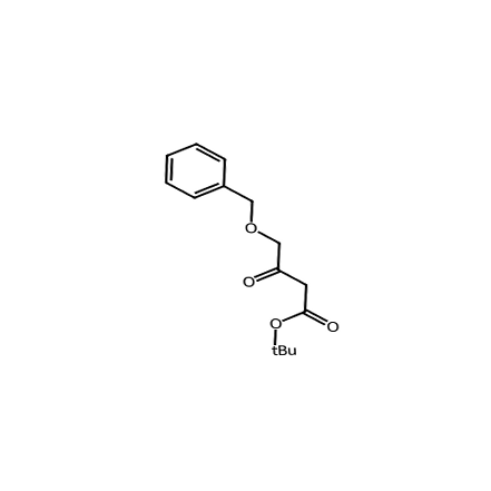 CC(C)(C)OC(=O)CC(=O)COCc1ccccc1